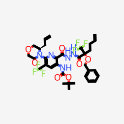 C=CCCC(OCc1ccccc1)(C(=O)NNC(=O)c1nc(N2C(=O)COC[C@H]2CC=C)c(C(F)(F)F)cc1NC(=O)OC(C)(C)C)C(F)(F)F